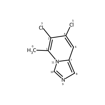 Cc1c(Cl)c(Cl)cc2cncn12